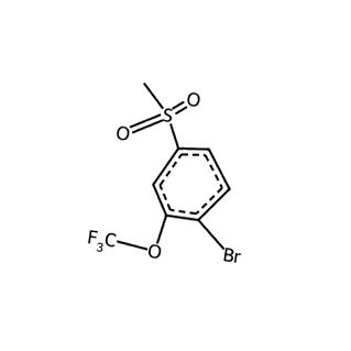 CS(=O)(=O)c1ccc(Br)c(OC(F)(F)F)c1